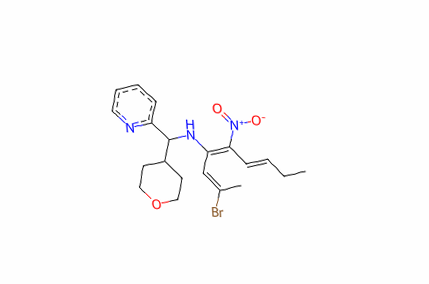 CC/C=C/C(=C(\C=C(/C)Br)NC(c1ccccn1)C1CCOCC1)[N+](=O)[O-]